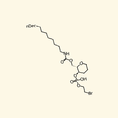 CCCCCCCCCCCCCCCCCCNC(=O)OC[C@@H]1OCCC[C@H]1OP(=O)(O)OCCBr